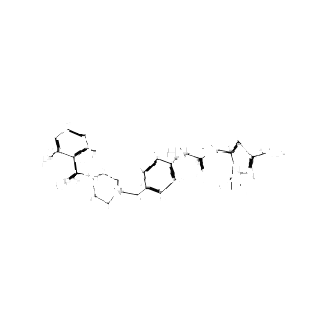 Cn1nc(C(C)(C)C)cc1NC(=O)Nc1ccc(CN2CCN(C(=O)c3c(F)cccc3F)CC2)cc1